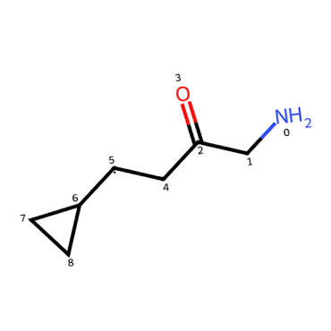 NCC(=O)C[CH]C1CC1